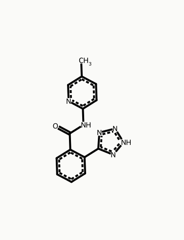 Cc1ccc(NC(=O)c2ccccc2-c2nn[nH]n2)nc1